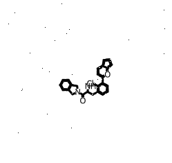 NC(Cc1cccc(-c2ccc3cccc-3o2)c1Cl)C(=O)N1Cc2ccccc2C1